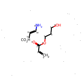 C=CC(=O)OCCCO.NC=CC(=O)O